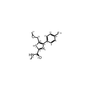 CNC(=O)c1nc(-c2ccc(F)cc2)c(COC)s1